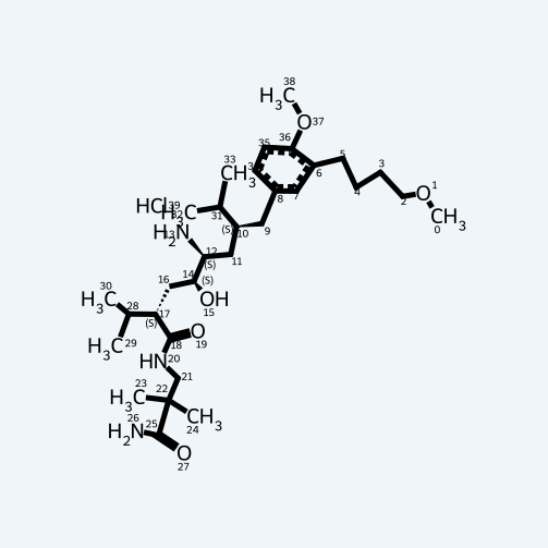 COCCCCc1cc(C[C@@H](C[C@H](N)[C@@H](O)C[C@H](C(=O)NCC(C)(C)C(N)=O)C(C)C)C(C)C)ccc1OC.Cl